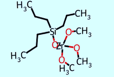 CCC[Si](CCC)(CCC)[O][Zr]([O]C)([O]C)[O]C